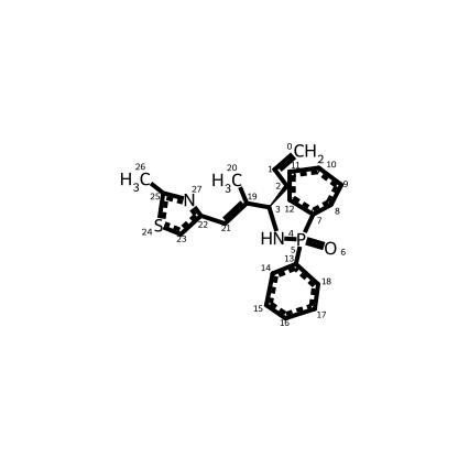 C=CC[C@@H](NP(=O)(c1ccccc1)c1ccccc1)C(C)=Cc1csc(C)n1